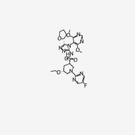 CCO[C@@H]1C[C@@H](S(=O)(=O)Nc2nnc([C@H]3CCCO3)n2-c2c(OC)ncnc2OC)CN(c2ncc(F)cn2)C1